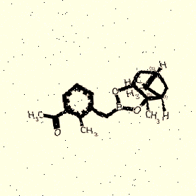 CC(=O)c1cccc(CB2OC3C[C@@H]4C[C@@H](C4(C)C)[C@]3(C)O2)c1C